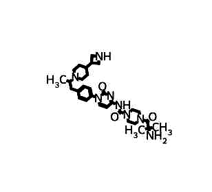 CC(Cc1ccc(-n2ccc(NC(=O)N3CCN(C(=O)C(C)(C)N)CC3)nc2=O)cc1)N1CCC(C2CNC2)CC1